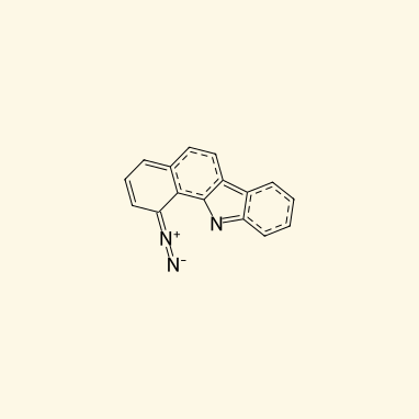 [N-]=[N+]=C1C=CC=c2ccc3c(c21)N=c1ccccc1=3